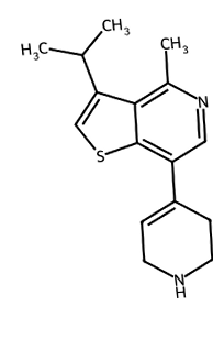 Cc1ncc(C2=CCNCC2)c2scc(C(C)C)c12